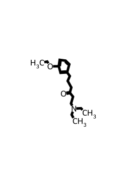 CCOc1cccc(CCCC(=O)CCN(CC)CC)c1